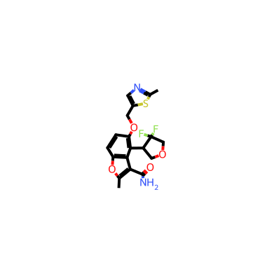 Cc1ncc(COc2ccc3oc(C)c(C(N)=O)c3c2C2COCC2(F)F)s1